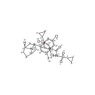 O=C(NS(=O)(=O)C1CC1)c1cc(C2CC2)c(CN2C3CC[C@@H]2C[C@H](Oc2cc(Cl)cc(Cl)c2)C3)cc1F